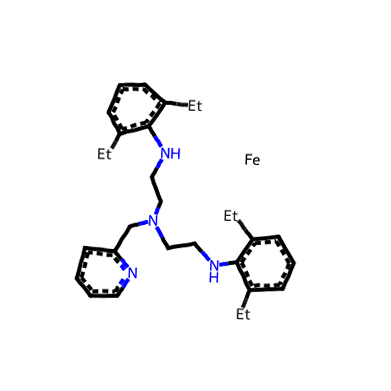 CCc1cccc(CC)c1NCCN(CCNc1c(CC)cccc1CC)Cc1ccccn1.[Fe]